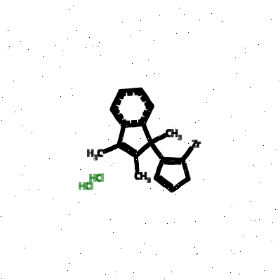 CC1=C(C)C(C)(C2=[C]([Zr])CC=C2)c2ccccc21.Cl.Cl